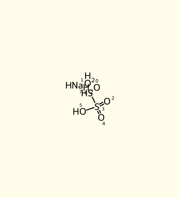 O.O.O=S(=O)(O)S.[NaH]